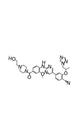 COc1cc(C(=O)N2CCN(CCO)CC2)ccc1Nc1ncc(-c2ccc(C#N)c(OC(C)Cn3cncn3)c2)cn1